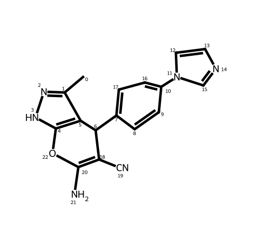 Cc1n[nH]c2c1C(c1ccc(-n3ccnc3)cc1)C(C#N)=C(N)O2